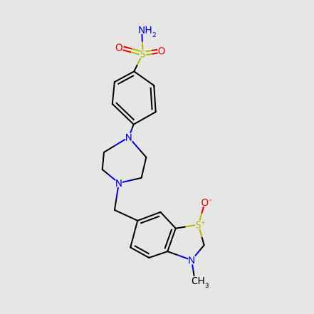 CN1C[S+]([O-])c2cc(CN3CCN(c4ccc(S(N)(=O)=O)cc4)CC3)ccc21